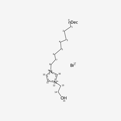 CCCCCCCCCCCCCCCCCCn1cc[n+](CCO)c1.[Br-]